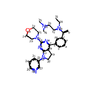 C=C(c1cccc(-c2nc(N3CCOCC3)nc3c2CCN3c2cccnc2)c1)N(CC)CCN(C)C